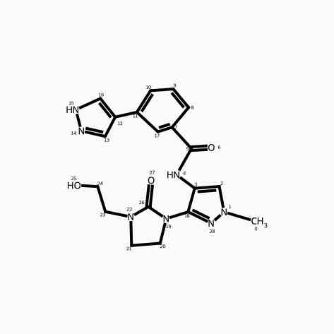 Cn1cc(NC(=O)c2cccc(-c3cn[nH]c3)c2)c(N2CCN(CCO)C2=O)n1